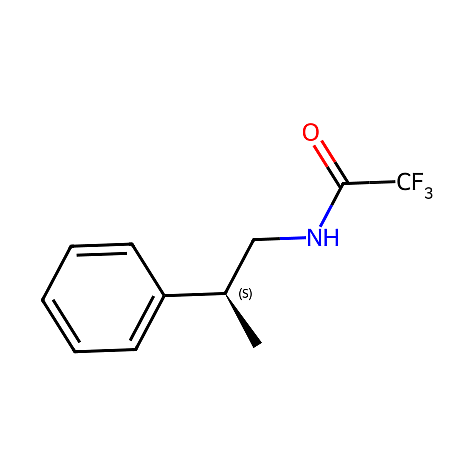 C[C@H](CNC(=O)C(F)(F)F)c1ccccc1